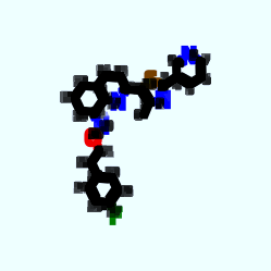 Cc1nc(-c2cccnc2)sc1-c1ccc2c(n1)/C(=N/OCCc1ccc(F)cc1)CCC2